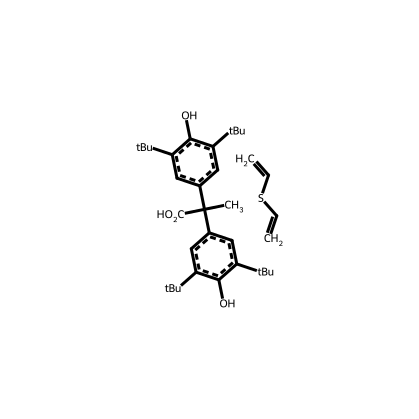 C=CSC=C.CC(C)(C)c1cc(C(C)(C(=O)O)c2cc(C(C)(C)C)c(O)c(C(C)(C)C)c2)cc(C(C)(C)C)c1O